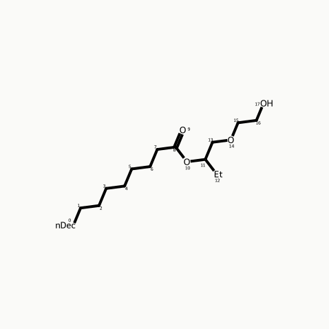 CCCCCCCCCCCCCCCCCC(=O)OC(CC)COCCO